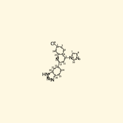 Clc1ccc2c(-n3ccnc3)cc(-c3ccc4nn[nH]c4c3)nc2c1